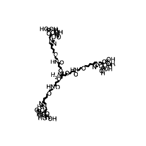 NC(COCCC(=O)NCCOCCCc1cn(CC(O)(OP(O)O)O[PH](=O)O)cn1)(COCCC(=O)NCCOCCCc1cn(CC(O)(OP(O)O)O[PH](=O)O)cn1)COCCC(=O)NCCOCCCc1cn(CC(O)(OP(O)O)O[PH](=O)O)cn1